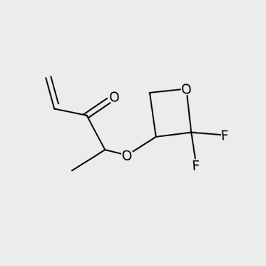 C=CC(=O)C(C)OC1COC1(F)F